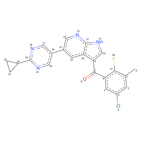 Cc1cc(Cl)cc(C(=O)c2c[nH]c3ncc(-c4cnc(C5CC5)nc4)cc23)c1F